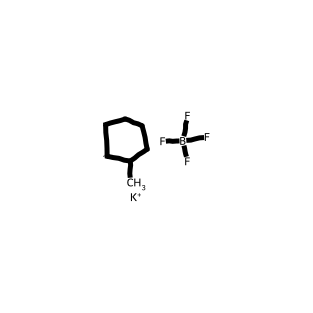 CC1[CH]CCCC1.F[B-](F)(F)F.[K+]